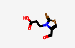 O=Cc1csc(=S)n1CCC(=O)O